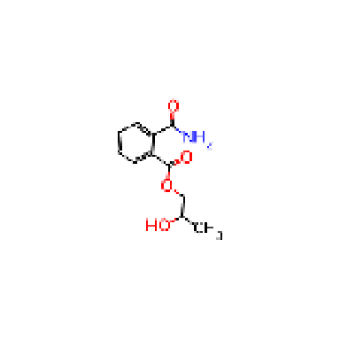 CC(O)COC(=O)c1ccccc1C(N)=O